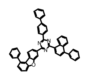 c1ccc(-c2ccc(-c3nc(-c4ccc5c(c4)oc4cccc(-c6ccccc6)c45)nc(-c4ccc(-c5ccccc5)c5ccccc45)n3)cc2)cc1